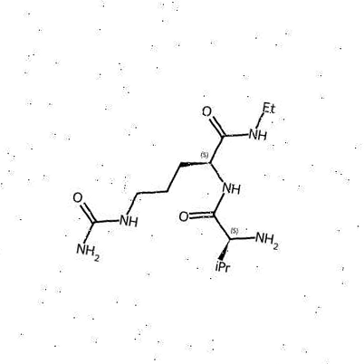 [CH2]CNC(=O)[C@H](CCCNC(N)=O)NC(=O)[C@@H](N)C(C)C